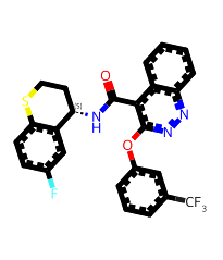 O=C(N[C@H]1CCSc2ccc(F)cc21)c1c(Oc2cccc(C(F)(F)F)c2)nnc2ccccc12